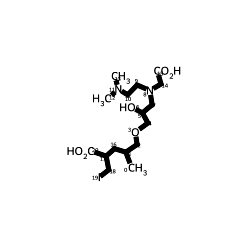 CC(COCC(O)CN(CCN(C)C)CC(=O)O)CC(CI)C(=O)O